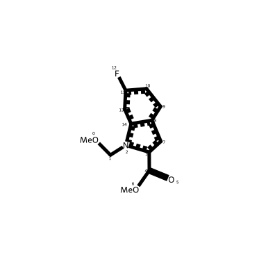 COCn1c(C(=O)OC)cc2ccc(F)cc21